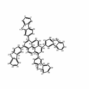 c1ccc2c(c1)sc1cc(-c3cc(-c4ccc5sc6ccccc6c5c4)c4ccc5c(-c6ccc7sc8ccccc8c7c6)cc(-c6ccc7sc8ccccc8c7c6)c6ccc3c4c65)ccc12